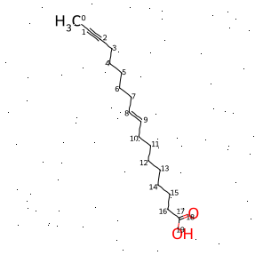 CC#CCCCCCC=CCCCCCCCC(=O)O